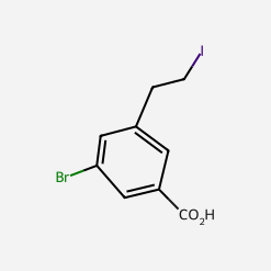 O=C(O)c1cc(Br)cc(CCI)c1